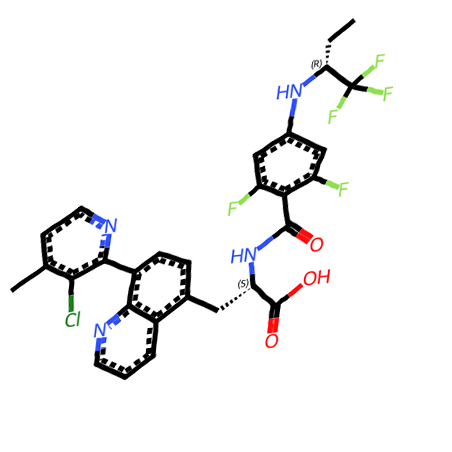 CC[C@@H](Nc1cc(F)c(C(=O)N[C@@H](Cc2ccc(-c3nccc(C)c3Cl)c3ncccc23)C(=O)O)c(F)c1)C(F)(F)F